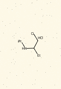 CCC(CCl)NC(C)C.Cl